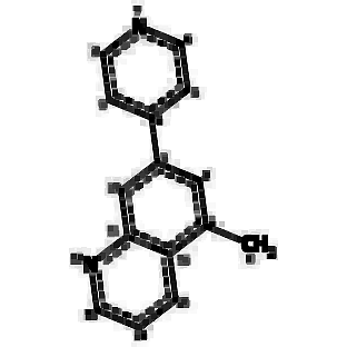 Cc1cc(-c2ccncc2)cc2ncccc12